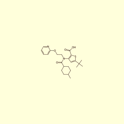 CC1CCC(C(=O)N(CCOc2ccccn2)c2cc(C(C)(C)C)sc2C(=O)O)CC1